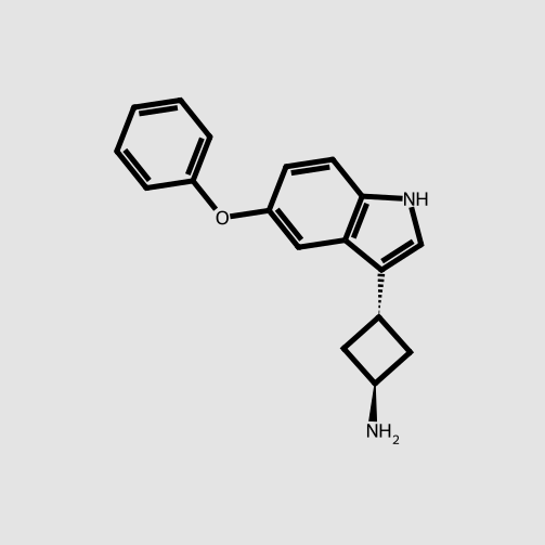 N[C@H]1C[C@H](c2c[nH]c3ccc(Oc4ccccc4)cc32)C1